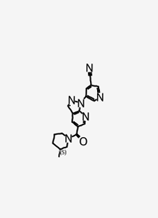 C[C@H]1CCCN(C(=O)c2cnc3c(cnn3-c3cncc(C#N)c3)c2)C1